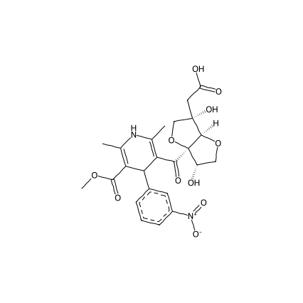 COC(=O)C1=C(C)NC(C)=C(C(=O)[C@]23OC[C@@](O)(CC(=O)O)[C@H]2OC[C@@H]3O)C1c1cccc([N+](=O)[O-])c1